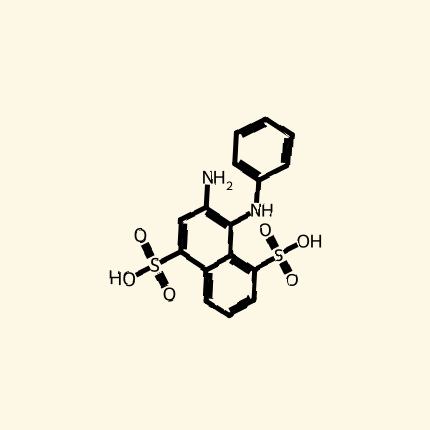 Nc1cc(S(=O)(=O)O)c2cccc(S(=O)(=O)O)c2c1Nc1ccccc1